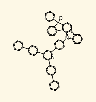 O=P1(c2ccccc2)c2ccccc2-c2c1ccc1c3ccccc3n(-c3ccc(-c4cc(-c5ccc(-c6ccccc6)cc5)cc(-c5ccc(-c6ccccc6)cc5)n4)cc3)c21